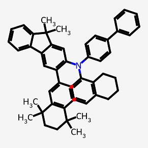 CC1(C)CCC(C)(C)c2cc(-c3cc4c(cc3N(c3ccc(-c5ccccc5)cc3)c3cccc5c3CCCC5)C(C)(C)c3ccccc3-4)ccc21